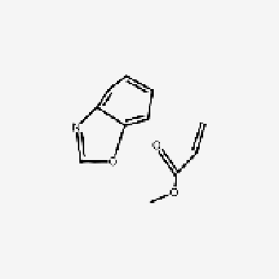 C=CC(=O)OC.c1ccc2ocnc2c1